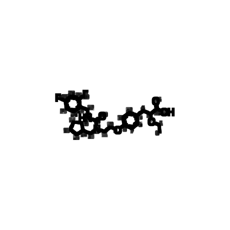 CCOC(Cc1ccc(OCCN(CC2CCCC2)C(=O)NCc2ccc(F)cc2F)cc1)C(=O)O